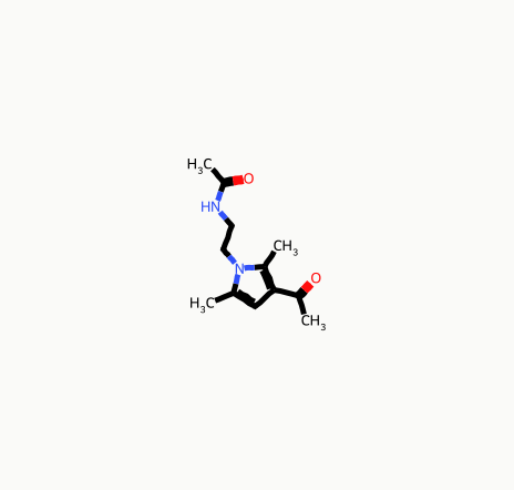 CC(=O)NCCn1c(C)cc(C(C)=O)c1C